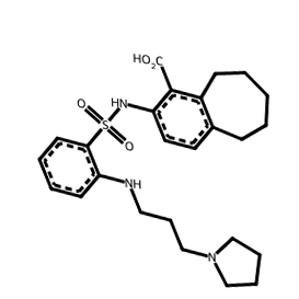 O=C(O)c1c(NS(=O)(=O)c2ccccc2NCCCN2CCCC2)ccc2c1CCCCC2